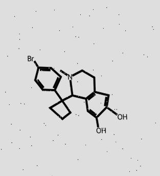 CN1CCc2cc(O)c(O)cc2C1C1(c2ccc(Br)cc2)CCC1